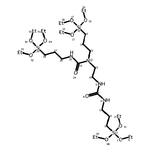 CCO[Si](CCCNC(=O)NCCN(CCC[Si](OCC)(OCC)OCC)C(=O)NCCC[Si](OCC)(OCC)OCC)(OCC)OCC